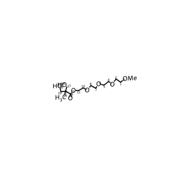 COCCOCCOCCOCCOC(=O)C(C)(CO)CO